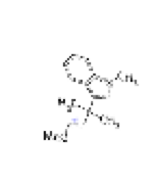 CO/C=C/C(C)(C)c1cn(C)c2ccccc12